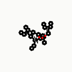 c1ccc(-c2cc(-c3cccc(-n4c5ccc6ccccc6c5c5c6ccccc6ccc54)c3)nc(-c3ccc(-c4ccc(-c5cc6ccccc6c6c7c8ccccc8ccc7n(-c7ccc(-c8cc(-c9ccc%10ccccc%10c9)nc(-c9ccc%10ccccc%10c9)n8)cc7)c56)cc4)cc3)n2)cc1